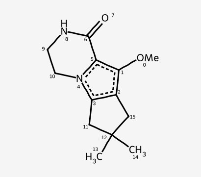 COc1c2c(n3c1C(=O)NCC3)CC(C)(C)C2